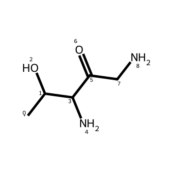 [CH2]C(O)C(N)C(=O)CN